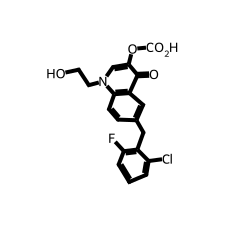 O=C(O)Oc1cn(CCO)c2ccc(Cc3c(F)cccc3Cl)cc2c1=O